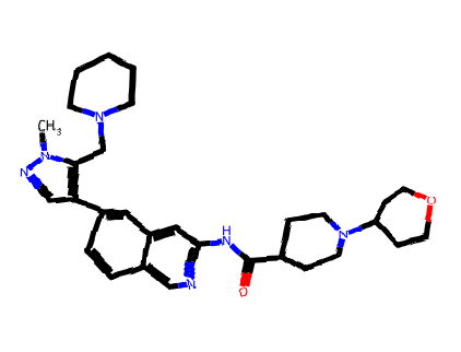 Cn1ncc(-c2ccc3cnc(NC(=O)C4CCN(C5CCOCC5)CC4)cc3c2)c1CN1CCCCC1